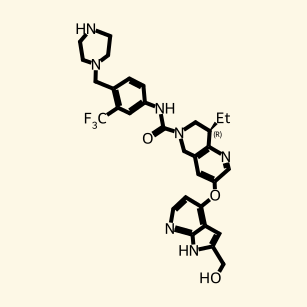 CC[C@@H]1CN(C(=O)Nc2ccc(CN3CCNCC3)c(C(F)(F)F)c2)Cc2cc(Oc3ccnc4[nH]c(CO)cc34)cnc21